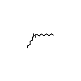 [CH2]CCCCC[N+](C)(C)CCCCCCCC